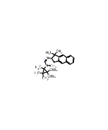 COC1(OC)C(C)(C)C1(C)N(C)/C=N\C1Cc2cc3ccccc3cc2C1(C)C